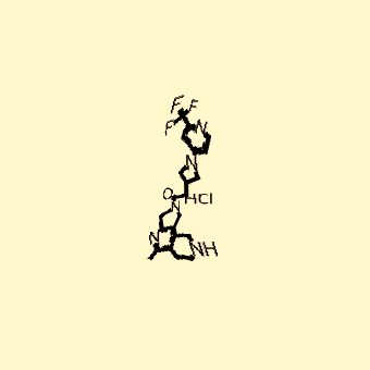 Cc1nc2c(c3c1CCNC3)CN(C(=O)CC1CN(c3ccnc(C(F)(F)F)c3)C1)C2.Cl